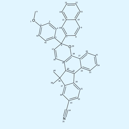 COc1ccc(C2(c3ccc4ccccc4c3)C=Cc3c4c(c5ccccc5c3O2)-c2ccc(C#N)cc2C4(C)C)cc1